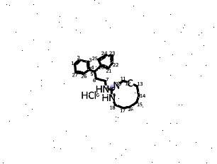 Cl.c1ccc(C(CCN/C2=N/CCCCCCCCN2)c2ccccc2)cc1